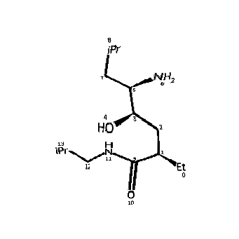 CC[C@H](C[C@@H](O)[C@H](N)CC(C)C)C(=O)NCC(C)C